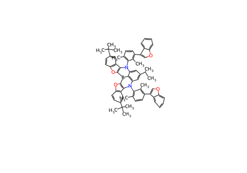 Cc1ccc(-c2coc3ccccc23)c(C)c1N1c2cc(C(C)C)cc3c2B(c2oc4ccc(C(C)(C)C)cc4c21)c1oc2ccc(C(C)(C)C)cc2c1N3c1c(C)ccc(-c2coc3ccccc23)c1C